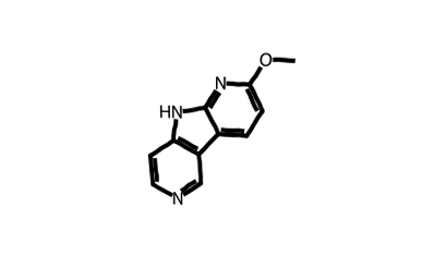 COc1ccc2c(n1)[nH]c1ccncc12